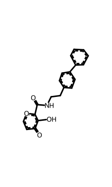 O=C(NCCc1ccc(-c2ccccc2)cc1)c1occc(=O)c1O